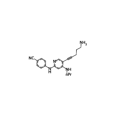 CCCNc1cc(Nc2ccc(C#N)cc2)ncc1C#CCCCN